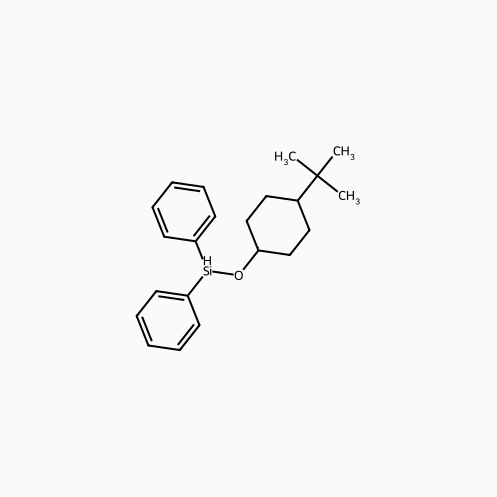 CC(C)(C)C1CC[C](O[SiH](c2ccccc2)c2ccccc2)CC1